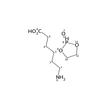 NCCCCCC(=O)O.O=[PH]1OCCO1